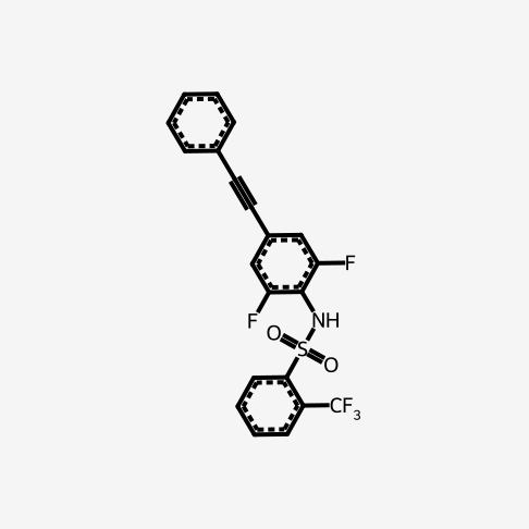 O=S(=O)(Nc1c(F)cc(C#Cc2ccccc2)cc1F)c1ccccc1C(F)(F)F